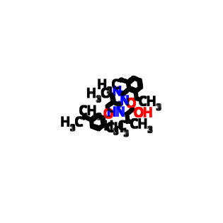 CCc1cccc(CC)c1-c1nc(C)c(COc2cc(C(C)C)ccc2C)c(N[C@H](C(=O)O)C(C)C)n1